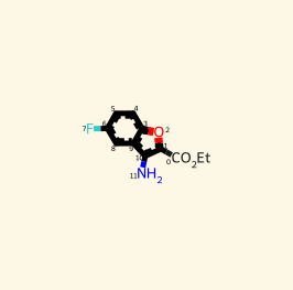 CCOC(=O)c1oc2ccc(F)cc2c1N